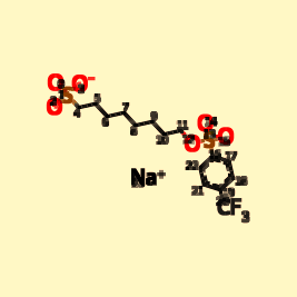 O=S(=O)([O-])CCCCCCCCOS(=O)(=O)c1ccc(C(F)(F)F)cc1.[Na+]